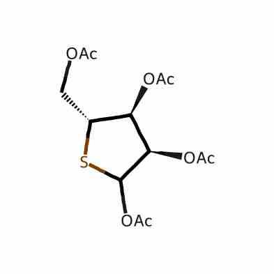 CC(=O)OC[C@H]1SC(OC(C)=O)[C@H](OC(C)=O)[C@@H]1OC(C)=O